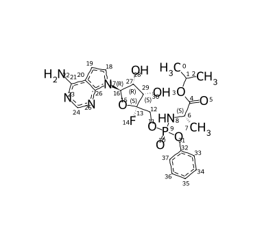 CC(C)OC(=O)[C@H](C)NP(=O)(OC[C@@]1(F)O[C@@H](n2ccc3c(N)ncnc32)[C@H](O)[C@@H]1O)Oc1ccccc1